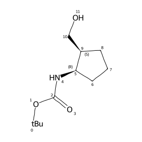 CC(C)(C)OC(=O)N[C@@H]1CCC[C@@H]1CO